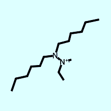 CCCCCCN(CCCCCC)[N+](C)CC